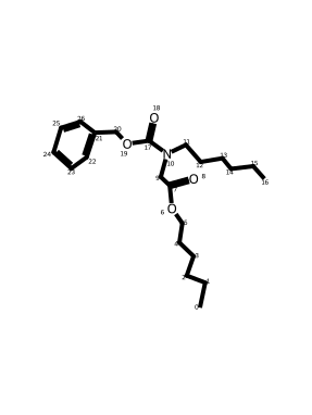 CCCCCCOC(=O)CN(CCCCCC)C(=O)OCc1ccccc1